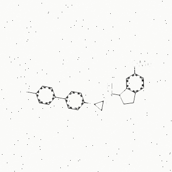 COc1ccc2c(c1)C(N[C@@H]1C[C@H]1c1ccc(-c3ccc(Cl)cc3)cc1)CC2